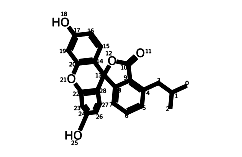 CC(C)Cc1cccc2c1C(=O)OC21c2ccc(O)cc2Oc2cc(O)ccc21